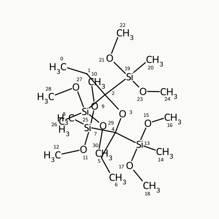 CCC(OC(CC)([Si](C)(OC)OC)[Si](C)(OC)OC)([Si](C)(OC)OC)[Si](C)(OC)OC